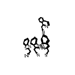 N#CCC1=Cc2ccccc2SN1.N#CCc1c[nH]c2ccccc12.N#CCc1nc2ccccc2s1.N#CCc1nccc2ccccc12